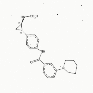 O=C(O)N[C@@H]1C[C@H]1c1ccc(NC(=O)c2cccc(N3CCCCC3)c2)cc1